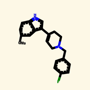 COc1ccc2[nH]cc(C3=CCN(Cc4ccc(F)cc4)CC3)c2c1